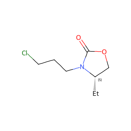 CC[C@H]1COC(=O)N1CCCCl